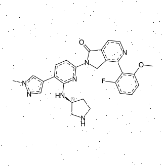 COc1cccc(F)c1-c1nccc2c1CN(c1ccc(-c3cnn(C)c3)c(N[C@H]3CCNC3)n1)C2=O